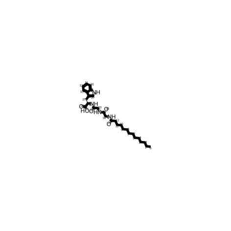 CCCCCCCCCCCCCC(=O)NCC(=O)NCC(=O)N[C@@H](Cc1c[nH]c2ccccc12)C(=O)O